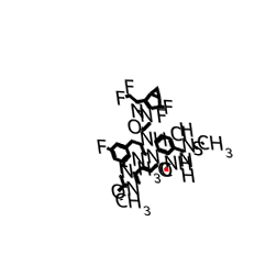 CNc1c(-n2c(C(Cc3cc(F)cc(F)c3)NC(=O)Cn3nc(C(F)F)c4c3C(F)(F)C3CC43)nc(-c3cnc(OC)cn3)cc2=O)ccc(Cl)c1C(=N)NSC